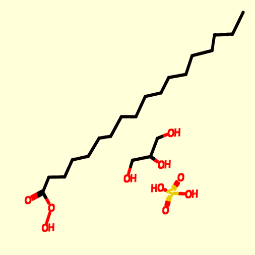 CCCCCCCCCCCCCCCCCC(=O)OO.O=S(=O)(O)O.OCC(O)CO